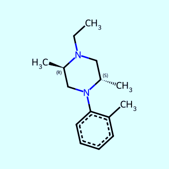 CCN1C[C@H](C)N(c2ccccc2C)C[C@H]1C